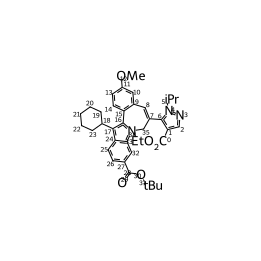 CCOC(=O)c1cnn(C(C)C)c1C1=Cc2cc(OC)ccc2-c2c(C3CCCCC3)c3ccc(C(=O)OC(C)(C)C)cc3n2C1